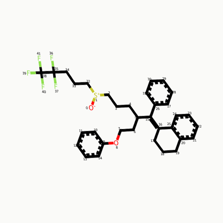 [O-][S+](CCCC(CCOc1ccccc1)C(=C1CCCc2ccccc21)c1ccccc1)CCCC(F)(F)C(F)(F)F